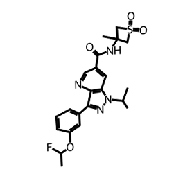 CC(F)Oc1cccc(-c2nn(C(C)C)c3cc(C(=O)NC4(C)CS(=O)(=O)C4)cnc23)c1